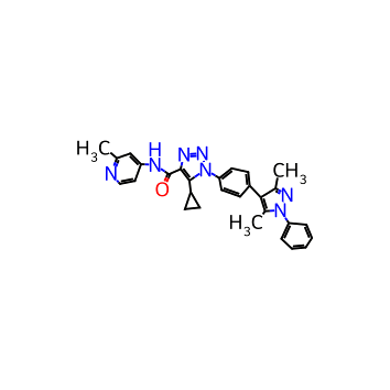 Cc1cc(NC(=O)c2nnn(-c3ccc(-c4c(C)nn(-c5ccccc5)c4C)cc3)c2C2CC2)ccn1